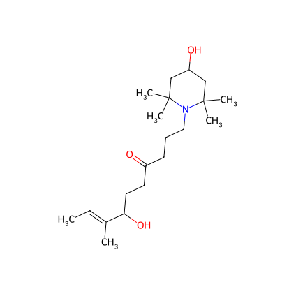 CC=C(C)C(O)CCC(=O)CCCN1C(C)(C)CC(O)CC1(C)C